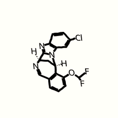 FC(F)Oc1cccc2c1[C@H]1C[C@@H](N=C2)c2nc3ccc(Cl)cc3n21